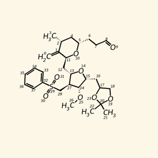 C=C1[C@H](C)C[C@H](CCC=O)O[C@H]1C[C@@H]1O[C@H](CC2COC(C)(C)O2)[C@H](OC)[C@H]1CS(=O)(=O)c1ccccc1